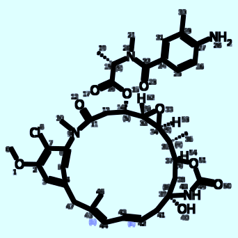 COc1cc2cc(c1Cl)N(C)C(=O)C[C@H](OC(=O)[C@H](C)N(C)C(=O)c1ccc(N)c(C)c1)[C@@H]1O[C@H]1[C@H](C)[C@@H]1C[C@](O)(C/C=C/C=C(\C)C2)NC(=O)O1